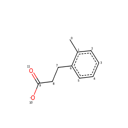 Cc1ccccc1CCC([O])=O